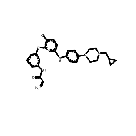 C=CC(=O)Nc1cccc(Oc2nc(Nc3ccc(N4CCN(CC5CC5)CC4)cc3)ccc2Cl)c1